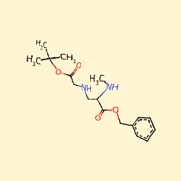 CNC(CNCC(=O)OC(C)(C)C)C(=O)OCc1ccccc1